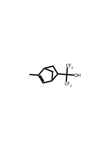 CC1=CC2CC1CC2C(O)(C(F)(F)F)C(F)(F)F